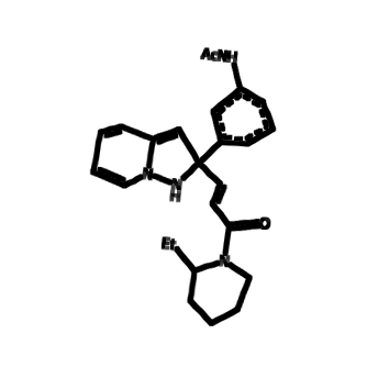 CCC1CCCCN1C(=O)C=CC1(c2cccc(NC(C)=O)c2)C=C2C=CC=CN2N1